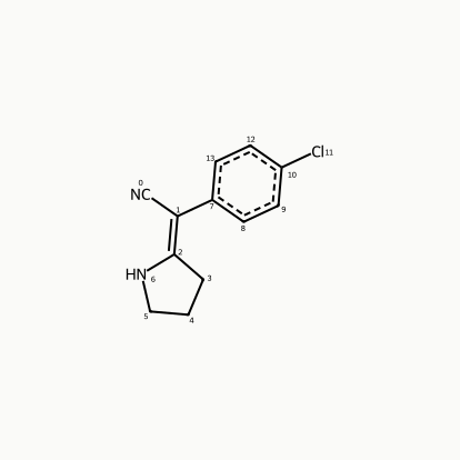 N#CC(=C1CCCN1)c1ccc(Cl)cc1